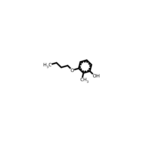 CCCCOc1cccc(O)c1C